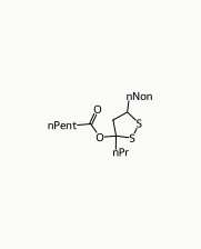 CCCCCCCCCC1CC(CCC)(OC(=O)CCCCC)SS1